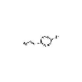 CC(=O)/C=C/c1ccc(Br)cc1